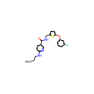 COCCNc1ccc(C(=O)NCc2ccc(Oc3cccc(F)c3)s2)cn1